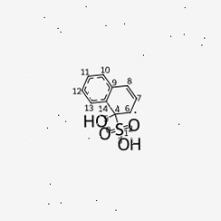 O=S(=O)(O)C1(O)[CH]C=Cc2ccccc21